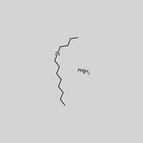 CCCCCCC[CH2][Zn][CH2]CCC.P.S